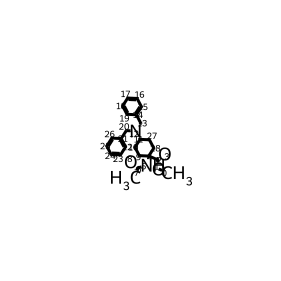 COC(=O)[C@]1(NC(C)=O)CC[C@@H](N(Cc2ccccc2)Cc2ccccc2)CC1